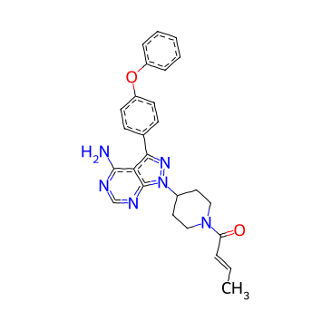 CC=CC(=O)N1CCC(n2nc(-c3ccc(Oc4ccccc4)cc3)c3c(N)ncnc32)CC1